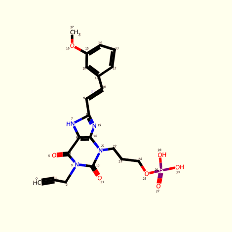 C#CCn1c(=O)c2[nH]c(/C=C/c3cccc(OC)c3)nc2n(CCCOP(=O)(O)O)c1=O